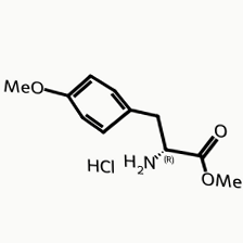 COC(=O)[C@H](N)Cc1ccc(OC)cc1.Cl